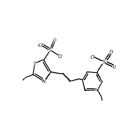 Cc1cc(CCc2nc(C)sc2S(=O)(=O)Cl)cc(S(=O)(=O)Cl)c1